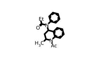 CCC(=O)N(c1ccccc1)C1CC(C)N(C(C)=O)c2ccccc21